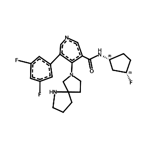 O=C(N[C@@H]1CC[C@H](F)C1)c1cncc(-c2cc(F)cc(F)c2)c1N1CCC2(CCCN2)C1